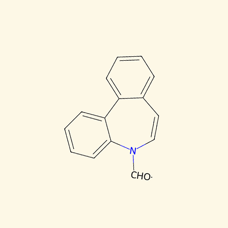 O=[C]N1C=Cc2ccccc2-c2ccccc21